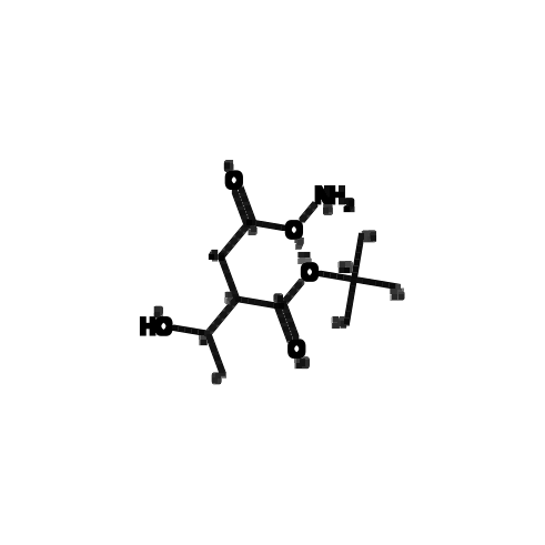 CC(O)C(CC(=O)ON)C(=O)OC(C)(C)C